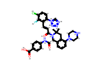 CC1(C)Cc2c(cccc2N2CCNCC2)[C@H](C(=O)Nc2ccc(C(=O)O)cc2)N1C(=O)/C=C/c1c(-n2cnnn2)ccc(Cl)c1F